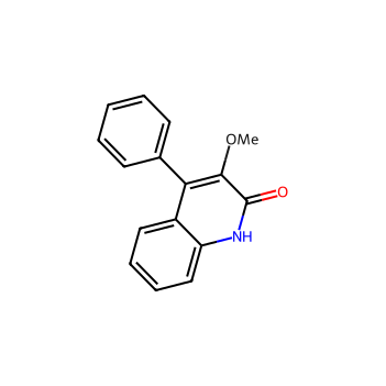 COc1c(-c2ccccc2)c2ccccc2[nH]c1=O